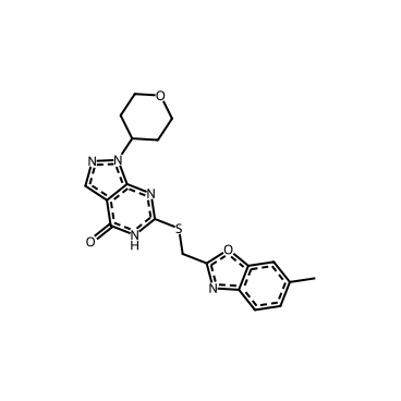 Cc1ccc2nc(CSc3nc4c(cnn4C4CCOCC4)c(=O)[nH]3)oc2c1